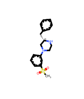 CS(=O)(=O)c1cccc(N2CCN[C@@H](Cc3ccccc3)C2)c1